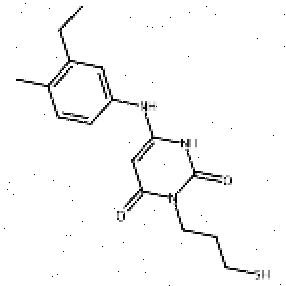 CCc1cc(Nc2cc(=O)n(CCCS)c(=O)[nH]2)ccc1C